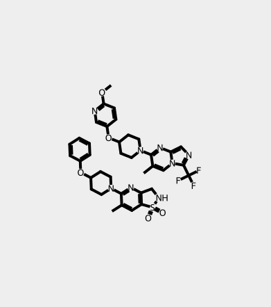 COc1ccc(OC2CCN(c3nc4cnc(C(F)(F)F)n4cc3C)CC2)cn1.Cc1cc2c(nc1N1CCC(Oc3ccccc3)CC1)CNS2(=O)=O